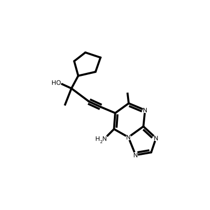 Cc1nc2ncnn2c(N)c1C#CC(C)(O)C1CCCC1